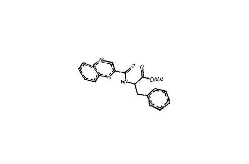 COC(=O)C(Cc1ccccc1)NC(=O)c1cnc2ccccc2n1